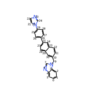 c1ccc2c(c1)ncn2Cc1ccc2cc(-c3ccc(-n4ccnc4)cc3)ccc2c1